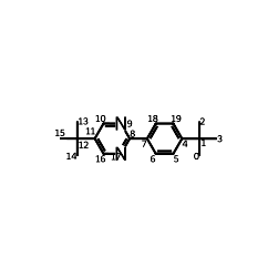 CC(C)(C)c1ccc(-c2ncc(C(C)(C)C)cn2)cc1